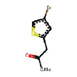 COC(=O)Cc1cc(Br)cs1